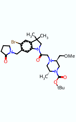 COC[C@H]1CN(C(=O)OC(C)(C)C)[C@H](C)CN1CC(=O)N1CC(C)(C)c2cc(Br)c(CN3CCCC3=O)cc21